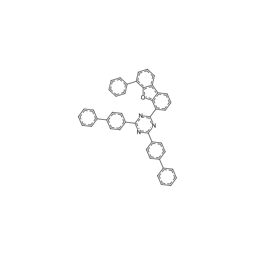 c1ccc(-c2ccc(-c3nc(-c4ccc(-c5ccccc5)cc4)nc(-c4cccc5c4oc4c(-c6ccccc6)cccc45)n3)cc2)cc1